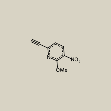 C#Cc1ccc([N+](=O)[O-])c(OC)n1